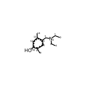 CCN(CC)Cc1cc(C)c(O)cc1C